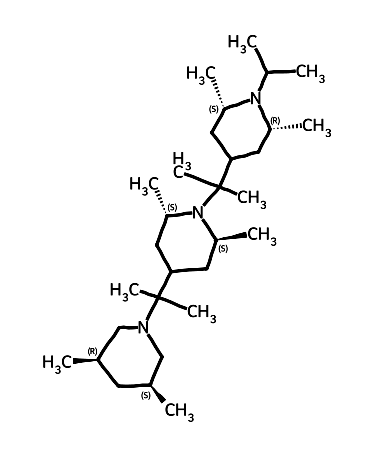 CC(C)N1[C@H](C)CC(C(C)(C)N2[C@@H](C)CC(C(C)(C)N3C[C@H](C)C[C@H](C)C3)C[C@@H]2C)C[C@@H]1C